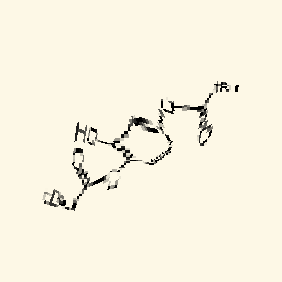 CC(C)(C)C(=O)Oc1ccc(OC(=O)C(C)(C)C)c(O)c1